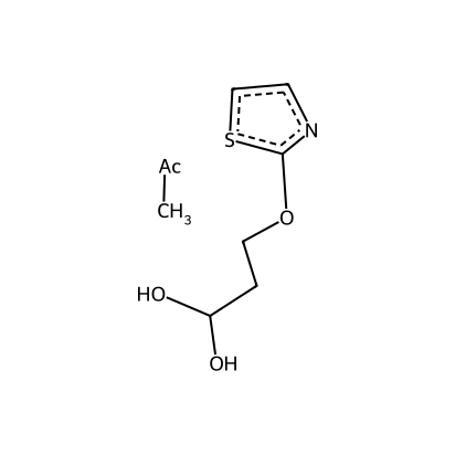 CC(C)=O.OC(O)CCOc1nccs1